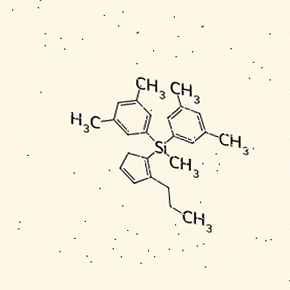 CCCC1=C([Si](C)(c2cc(C)cc(C)c2)c2cc(C)cc(C)c2)CC=C1